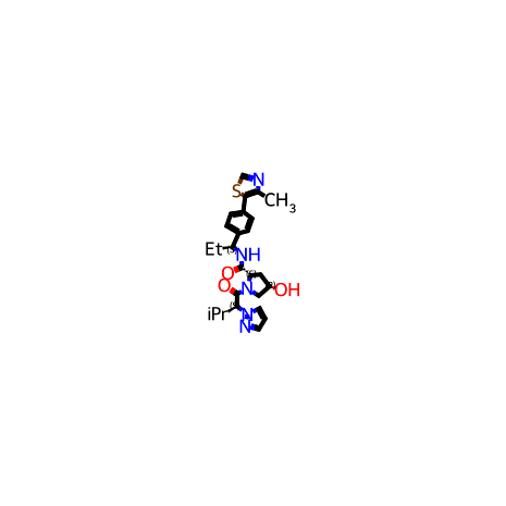 CC[C@H](NC(=O)[C@@H]1C[C@@H](O)CN1C(=O)[C@H](C(C)C)n1cccn1)c1ccc(-c2scnc2C)cc1